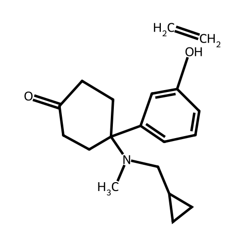 C=C.CN(CC1CC1)C1(c2cccc(O)c2)CCC(=O)CC1